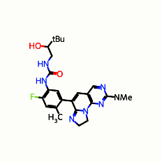 CNc1ncc2c(n1)N1CCN=C1C(c1cc(NC(=O)NCC(O)C(C)(C)C)c(F)cc1C)=C2